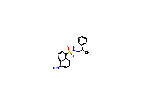 CC(CNS(=O)(=O)c1cccc2c(N)cccc12)c1ccccc1